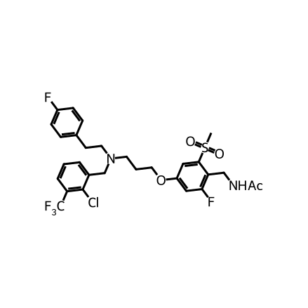 CC(=O)NCc1c(F)cc(OCCCN(CCc2ccc(F)cc2)Cc2cccc(C(F)(F)F)c2Cl)cc1S(C)(=O)=O